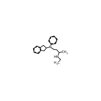 CCNC(C)CCN(c1ccccc1)C1Cc2ccccc2C1